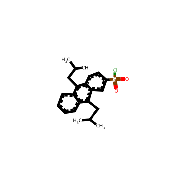 CC(C)Cc1c2ccccc2c(CC(C)C)c2cc(S(=O)(=O)Cl)ccc12